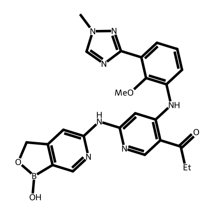 CCC(=O)c1cnc(Nc2cc3c(cn2)B(O)OC3)cc1Nc1cccc(-c2ncn(C)n2)c1OC